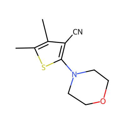 Cc1sc(N2CCOCC2)c(C#N)c1C